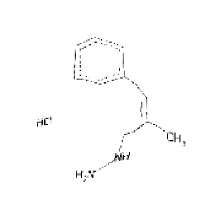 CC(=Cc1ccccc1)CNN.Cl